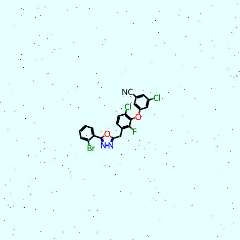 N#Cc1cc(Cl)cc(Oc2c(Cl)ccc(Cc3nnc(-c4ccccc4Br)o3)c2F)c1